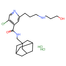 Cl.Cl.O=C(NCC12CC3CC(CC(C3)C1)C2)c1cc(CCCNCCCO)ncc1Cl